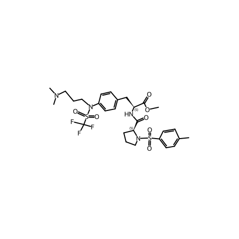 COC(=O)[C@H](Cc1ccc(N(CCCN(C)C)S(=O)(=O)C(F)(F)F)cc1)NC(=O)[C@@H]1CCCN1S(=O)(=O)c1ccc(C)cc1